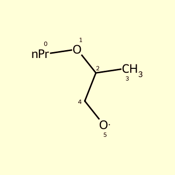 C[CH]COC(C)C[O]